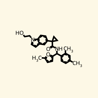 Cc1ccc(C(NC(=O)C2(c3ccc4c(ccn4CCO)c3)CC2)c2ccc(C)o2)c(C)c1